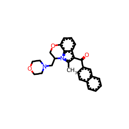 Cc1c(C(=O)c2ccc3ccccc3c2)c2cccc3c2n1C(CN1CCOCC1)CO3